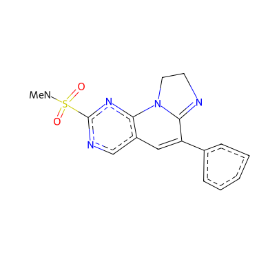 CNS(=O)(=O)c1ncc2c(n1)N1CCN=C1C(c1ccccc1)=C2